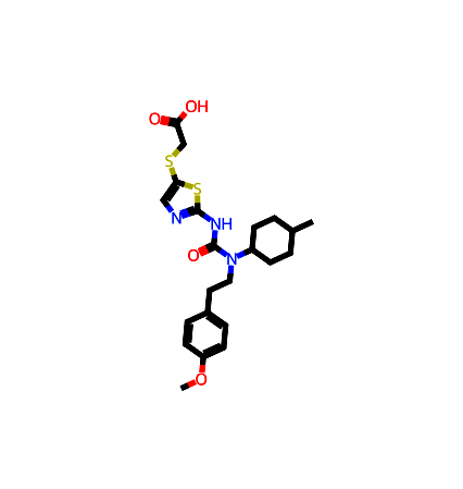 COc1ccc(CCN(C(=O)Nc2ncc(SCC(=O)O)s2)C2CCC(C)CC2)cc1